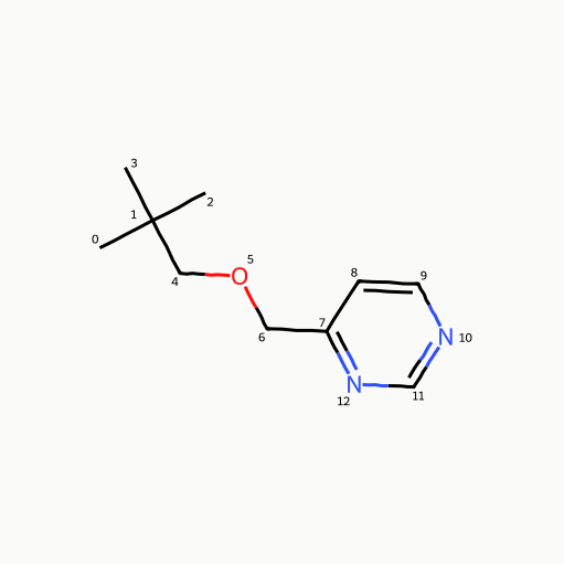 CC(C)(C)COCc1ccncn1